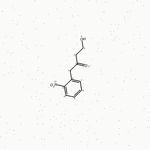 O=C(CCO)Cc1ccccc1[N+](=O)[O-]